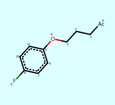 CC(=O)CCCOc1ccc(F)cc1